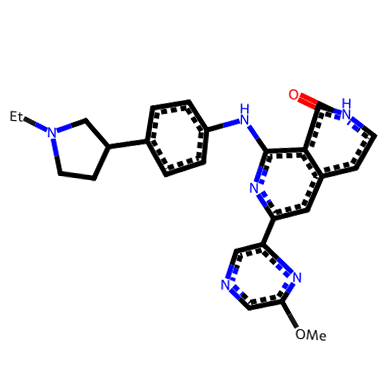 CCN1CCC(c2ccc(Nc3nc(-c4cncc(OC)n4)cc4cc[nH]c(=O)c34)cc2)C1